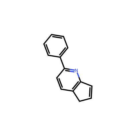 C1=Cc2nc(-c3ccccc3)ccc2C1